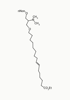 CCCCCCCCCOCC(COCCCCCCCCC=CCCCCCC(=O)OCC)N(C)C